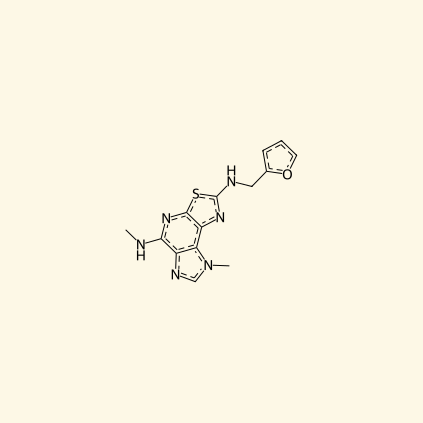 CNc1nc2sc(NCc3ccco3)nc2c2c1ncn2C